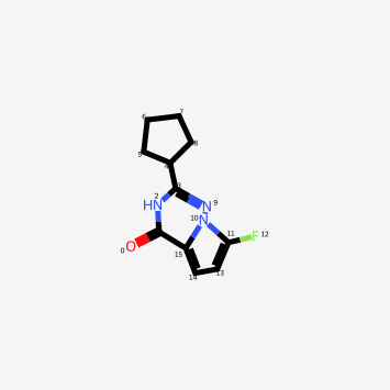 O=c1[nH]c(C2CCCC2)nn2c(F)ccc12